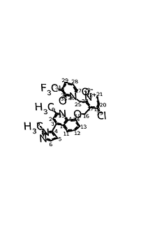 Cc1cc(-c2ccnn2C)c2cccc(OCc3c(Cl)cc[n+]([O-])c3Cn3cccc(C(F)(F)F)c3=O)c2n1